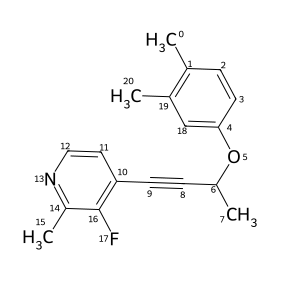 Cc1ccc(OC(C)C#Cc2ccnc(C)c2F)cc1C